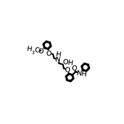 COc1ccccc1OCCNCC(O)COc1ccccc1C(=O)Nc1ccccc1